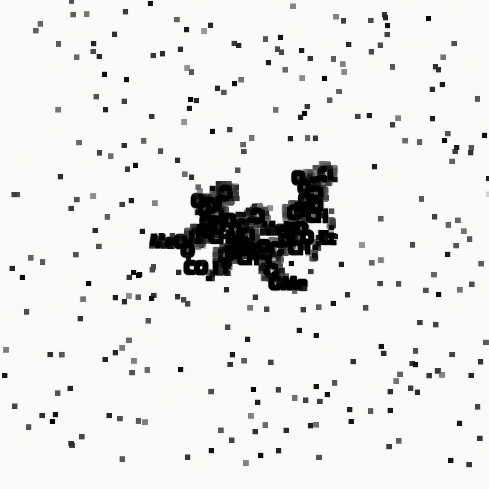 CCOC(=O)C(C)Oc1ccc2c(-c3ccc(OC)cc3)cc(=O)oc2c1.CCOC(=O)[C@H]1CCCN(C(=O)C(C)Oc2ccc3c(-c4ccccc4)cc(=O)oc3c2)C1.CNC(=O)C1CCCN(C(=O)C(C)Oc2ccc3c(-c4ccccc4)cc(=O)oc3c2)C1.COC(=O)C1CCN(C(=O)C(C)Oc2ccc3c(-c4ccccc4)cc(=O)oc3c2)CC1